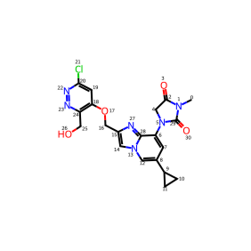 CN1C(=O)CN(c2cc(C3CC3)cn3cc(COc4cc(Cl)nnc4CO)nc23)C1=O